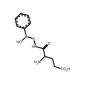 NC(CCC(=O)O)C(=O)NOB(O)c1ccccc1